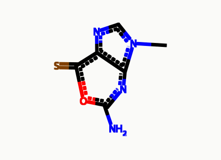 Cn1cnc2c(=S)oc(N)nc21